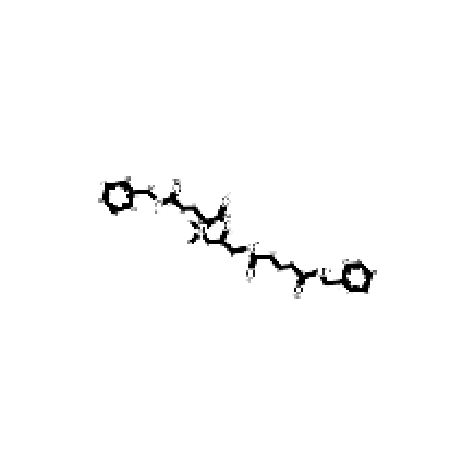 C[N+](C)(C)CC(COC(=O)CCCC(=O)OCc1ccccc1)OC(=O)CCCC(=O)OCc1ccccc1